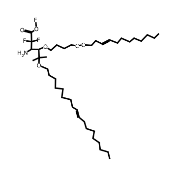 CCCCCCCCC=CCCCCCCCCOC(C(N)C(F)(F)C(=O)OF)C(C)(C)OCCCCCCCCC=CCCCCCCCC